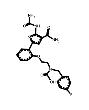 NC(=O)Nc1sc(-c2ccccc2OCCN(Cc2ccc(F)cc2)C(=O)O)cc1C(N)=O